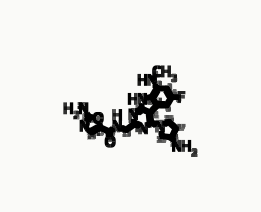 CNc1cc(F)cc2c1[nH]c1nc(CNC(=O)c3cnc(N)o3)nc(N3CCC(N)C3)c12